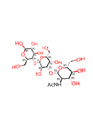 CC(=O)N[C@H]1[C@H](O[C@H]2[C@@H](O)[C@@H](CO)O[C@@H](O[C@H]3[C@H](O)[C@@H](O)[C@H](O)O[C@@H]3CO)[C@@H]2O)O[C@H](CO)[C@@H](O)[C@@H]1O